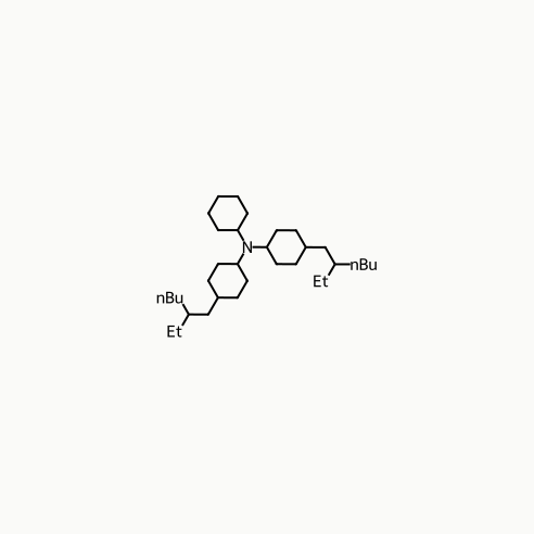 CCCCC(CC)CC1CCC(N(C2CCCCC2)C2CCC(CC(CC)CCCC)CC2)CC1